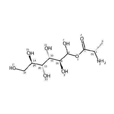 C[C@H](N)C(=O)OC(O)[C@@H](O)[C@@H](O)[C@H](O)[C@H](O)CO